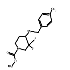 Cc1ccc(CNC2CCN(C(=O)OC(C)(C)C)CC2(F)F)cc1